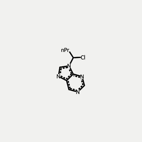 CCCC(Cl)n1cnc2cncnc21